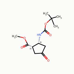 COC(=O)[C@H]1CC(=O)C[C@H]1NC(=O)OC(C)(C)C